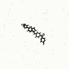 O=C(c1ccc(F)cc1)N1CCC(Cn2ccc3nc(-c4cn[nH]c4)ccc32)CC1